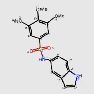 COc1cc(S(=O)(=O)Nc2ccc3[nH]ccc3c2)cc(OC)c1OC